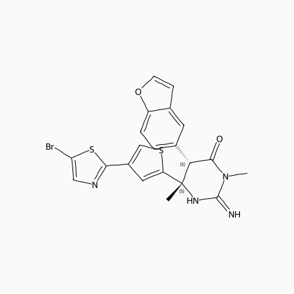 CN1C(=N)N[C@](C)(c2cc(-c3ncc(Br)s3)cs2)[C@H](c2ccc3occc3c2)C1=O